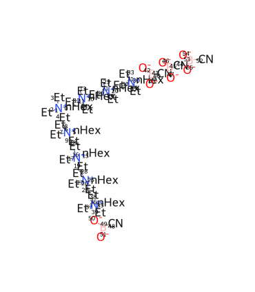 CCCCCC[N+](CC)(CC)CC.CCCCCC[N+](CC)(CC)CC.CCCCCC[N+](CC)(CC)CC.CCCCCC[N+](CC)(CC)CC.CCCCCC[N+](CC)(CC)CC.CCCCCC[N+](CC)(CC)CC.CCCCCC[N+](CC)(CC)CC.CCCCCC[N+](CC)(CC)CC.N#CB([O-])[O-].N#CB([O-])[O-].N#CB([O-])[O-].N#CB([O-])[O-]